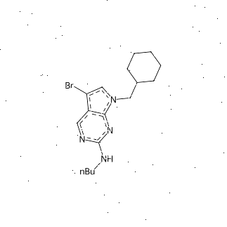 CCCCNc1ncc2c(Br)cn(CC3CCCCC3)c2n1